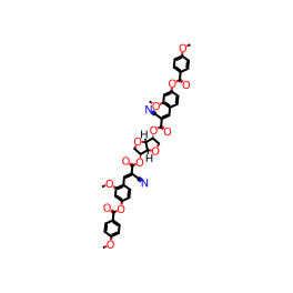 COc1ccc(C(=O)Oc2ccc(/C=C(\C#N)C(=O)O[C@H]3CO[C@H]4[C@@H]3OC[C@H]4OC(=O)/C(C#N)=C/c3ccc(OC(=O)c4ccc(OC)cc4)cc3OC)c(OC)c2)cc1